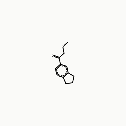 COCC(=O)c1cnc2c(c1)CCC2